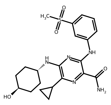 CS(=O)(=O)c1cccc(Nc2nc(N[C@H]3CC[C@H](O)CC3)c(C3CC3)nc2C(N)=O)c1